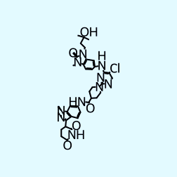 Cn1nc(C2CCC(=O)NC2=O)c2ccc(NC(=O)C3CCN(c4ncc(Cl)c(Nc5ccc6c(c5)n(CCC(C)(C)O)c(=O)n6C)n4)CC3)cc21